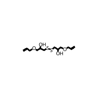 C=CCOCC(O)CSSCC(O)COCC=C